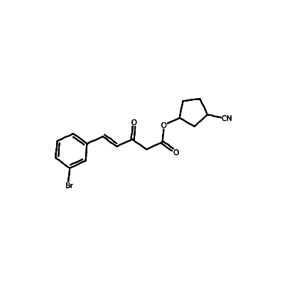 N#CC1CCC(OC(=O)CC(=O)C=Cc2cccc(Br)c2)C1